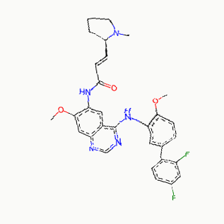 COc1cc2ncnc(Nc3cc(-c4ccc(F)cc4F)ccc3OC)c2cc1NC(=O)/C=C/[C@H]1CCCN1C